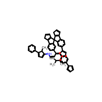 CC1C(N/C=C\C(=C/c2ccc(C3=C=CC=C3)cc2)c2ccc3c(c2)C2(C4=C3CC=C4)C3=C(C=CC3)c3ccc(C4=CC=C(C(C)C(C)C(C)(C)C)C4)cc32)=CC=C1c1ccccc1